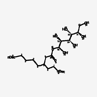 CCCCCCCCCCCCCCC(CCCCCCCCCCCC)CC(=O)OC(O)[C@@H](O)[C@@H](O)[C@H](O)[C@H](O)CO